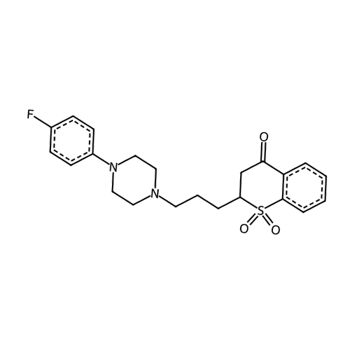 O=C1CC(CCCN2CCN(c3ccc(F)cc3)CC2)S(=O)(=O)c2ccccc21